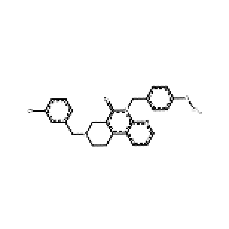 COc1ccc(Cn2c(=O)c3c(c4cccnc42)CCN(Cc2cccc(Cl)c2)C3)cc1